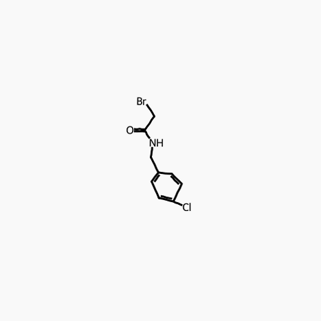 O=C(CBr)NCc1ccc(Cl)cc1